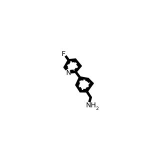 NCc1ccc(-c2ccc(F)cn2)cc1